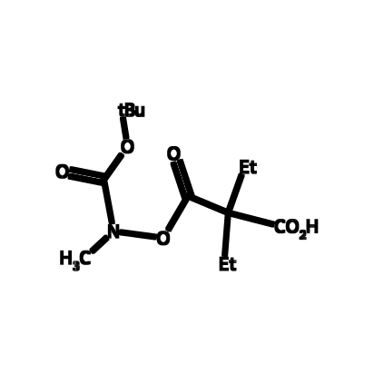 CCC(CC)(C(=O)O)C(=O)ON(C)C(=O)OC(C)(C)C